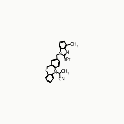 CCCc1nc2c(C)cccc2n1Cc1ccc2c(c1)CCc1ccccc1N2C(C)C#N